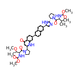 COC(=O)NC(C(=O)N1CCC[C@H]1c1ncc(-c2ccc3cc(-c4ccc5c(=O)cc(C6CCCN6C(=O)[C@@H](NC(=O)OC)[C@@H](C)OC)[nH]c5c4)ccc3c2)[nH]1)C(C)C